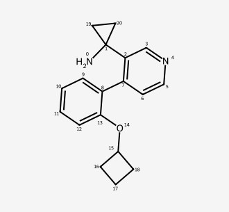 NC1(c2cnccc2-c2ccccc2OC2CCC2)CC1